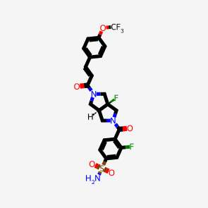 NS(=O)(=O)c1ccc(C(=O)N2C[C@H]3CN(C(=O)C=Cc4ccc(OC(F)(F)F)cc4)C[C@]3(F)C2)c(F)c1